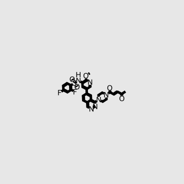 COc1ncc(-c2ccc3cnnc(N4CCN(C(=O)/C=C/C(C)=O)CC4)c3c2)cc1NS(=O)(=O)c1ccc(F)cc1F